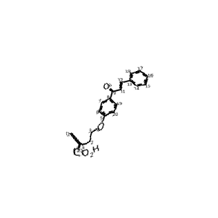 C=C(CCOc1ccc(C(=O)C=Cc2ccccc2)cc1)C(=O)O